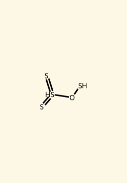 S=[SH](=S)OS